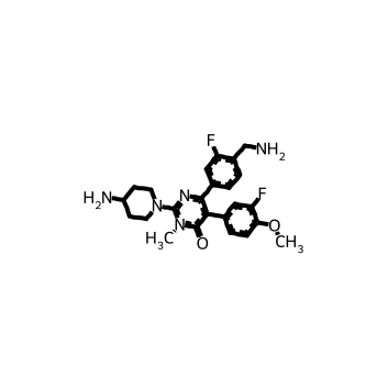 COc1ccc(-c2c(-c3ccc(CN)c(F)c3)nc(N3CCC(N)CC3)n(C)c2=O)cc1F